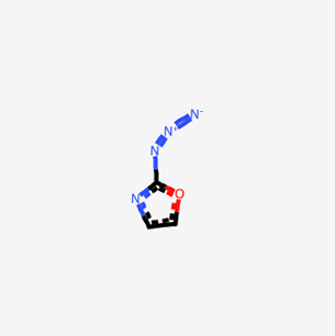 [N-]=[N+]=Nc1ncco1